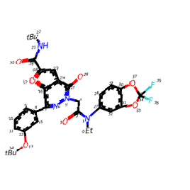 CCN(C(=O)Cn1nc(-c2cccc(OC(C)(C)C)c2)c2oc(C(=O)NC(C)(C)C)cc2c1=O)c1ccc2c(c1)OC(F)(F)O2